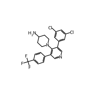 NC1CCN(c2c(-c3ccc(C(F)(F)F)cc3)cncc2-c2cc(Cl)cc(Cl)c2)CC1